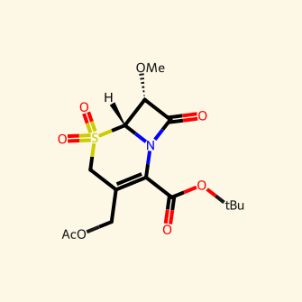 CO[C@@H]1C(=O)N2C(C(=O)OC(C)(C)C)=C(COC(C)=O)CS(=O)(=O)[C@H]12